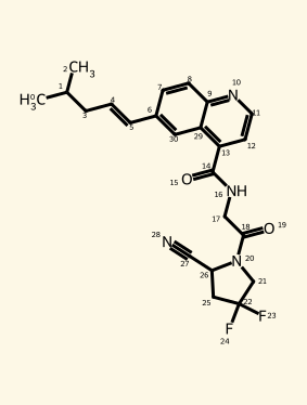 CC(C)CC=Cc1ccc2nccc(C(=O)NCC(=O)N3CC(F)(F)CC3C#N)c2c1